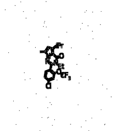 CCn1c(-c2ccc(Cl)cc2OC(F)(F)F)nn2c(C)cc(C(C)C)c2c1=O